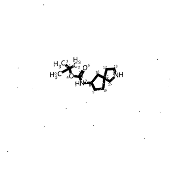 CC(C)(C)OC(=O)NC1CCC2(CCNC2)C1